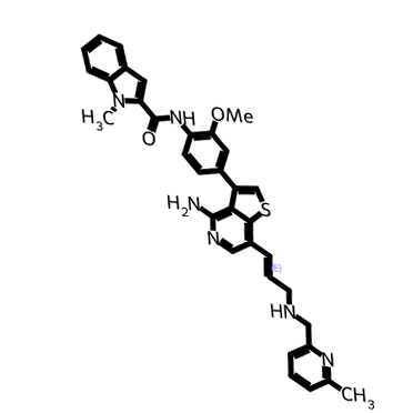 COc1cc(-c2csc3c(/C=C/CNCc4cccc(C)n4)cnc(N)c23)ccc1NC(=O)c1cc2ccccc2n1C